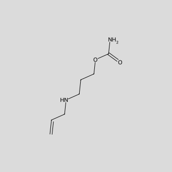 C=CCNCCCOC(N)=O